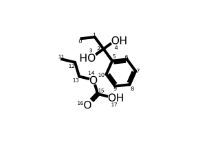 CCC(O)(O)c1ccccc1.CCCOC(=O)O